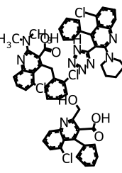 CN(C)c1nc2cccc(Cl)c2c(Cc2ccccc2Cl)c1C(=O)O.Clc1cccc2nc(N3CCCCC3)c(-c3nnn[nH]3)c(-c3ccccc3)c12.O=C(O)c1c(CO)nc2cccc(Cl)c2c1-c1ccccc1